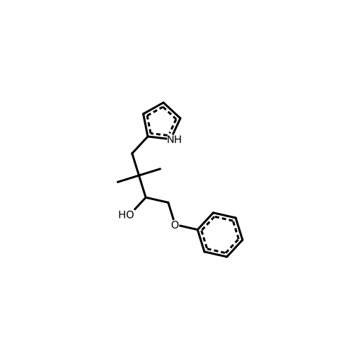 CC(C)(Cc1ccc[nH]1)C(O)COc1ccccc1